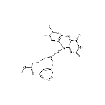 C=c1nc2c(c(=O)[nH]1)=Nc1cc(C)c(C)cc1N2CCN(CCCC(=O)OC)Cc1ccccc1